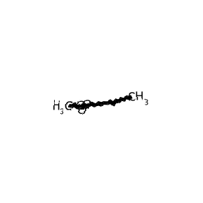 CCCCCCCCCCCCCCCCOC(=O)OCCCC